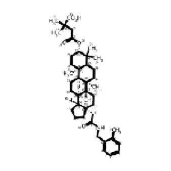 Cc1ccccc1CNC(=O)C[C@]12CCC[C@@H]1[C@H]1CCC3[C@@]4(C)CC[C@H](OC(=O)CC(C)(C)C(=O)O)C(C)(C)C4CC[C@@]3(C)[C@]1(C)CC2